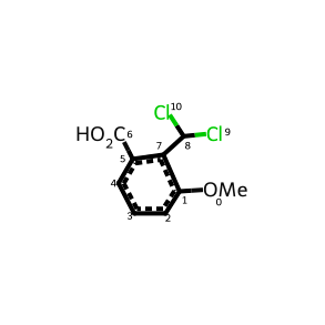 COc1cccc(C(=O)O)c1C(Cl)Cl